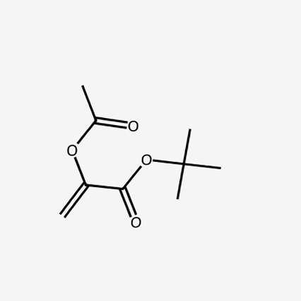 C=C(OC(C)=O)C(=O)OC(C)(C)C